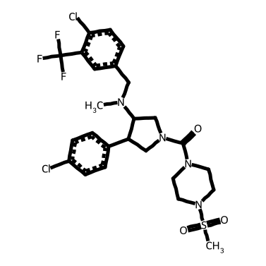 CN(Cc1ccc(Cl)c(C(F)(F)F)c1)C1CN(C(=O)N2CCN(S(C)(=O)=O)CC2)CC1c1ccc(Cl)cc1